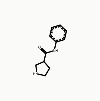 O=C(Nc1ccccc1)C1CCNC1